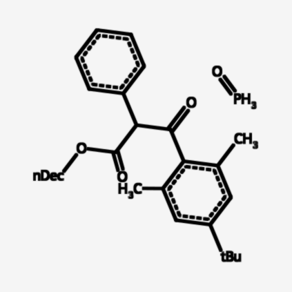 CCCCCCCCCCOC(=O)C(C(=O)c1c(C)cc(C(C)(C)C)cc1C)c1ccccc1.O=[PH3]